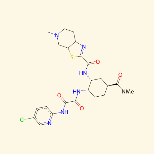 CNC(=O)[C@H]1CC[C@H](NC(=O)C(=O)Nc2ccc(Cl)cn2)[C@H](NC(=O)C2=NC3CCN(C)CC3S2)C1